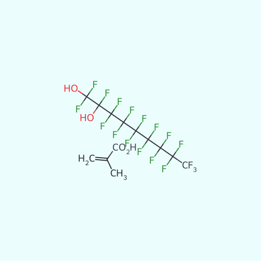 C=C(C)C(=O)O.OC(F)(F)C(O)(F)C(F)(F)C(F)(F)C(F)(F)C(F)(F)C(F)(F)C(F)(F)C(F)(F)F